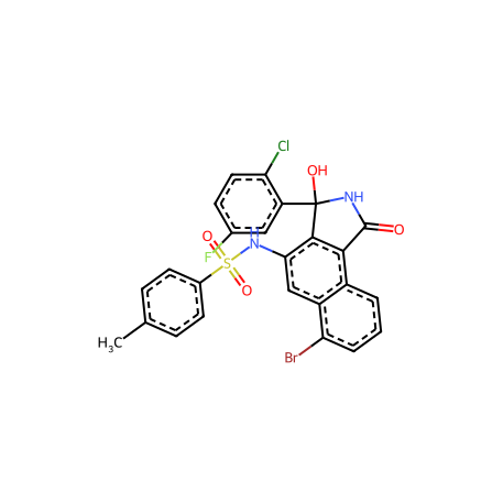 Cc1ccc(S(=O)(=O)Nc2cc3c(Br)cccc3c3c2C(O)(c2cc(F)ccc2Cl)NC3=O)cc1